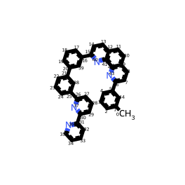 Cc1cccc(-c2ccc3ccc4ccc(-c5cccc(-c6cccc(-c7cccc(-c8ccccn8)n7)c6)c5)nc4c3n2)c1